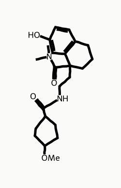 COC1CCC(C(=O)NCCC2(C(=O)N(C)C)CCCc3ccc(O)cc32)CC1